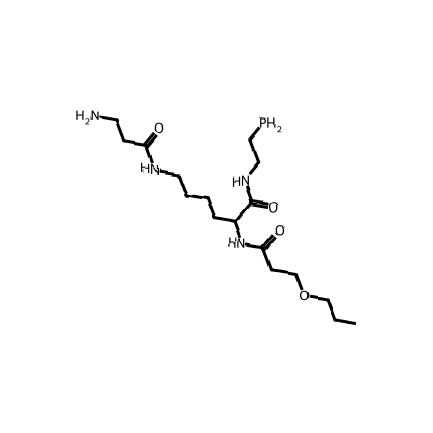 CCCOCCC(=O)NC(CCCCNC(=O)CCN)C(=O)NCCP